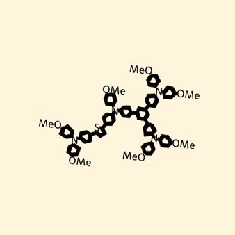 COc1ccc(N(c2ccc(OC)cc2)c2ccc(-c3cc(-c4ccc(N(c5ccc(OC)cc5)c5ccc(OC)cc5)cc4)cc(-c4ccc(N(c5ccc(OC)cc5)c5ccc(-c6ccc(-c7ccc(N(c8ccc(OC)cc8)c8ccc(OC)cc8)cc7)s6)cc5)cc4)c3)cc2)cc1